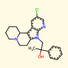 CC(O)(Cn1c2c(c3cc(Cl)cnc31)C1CCCCN1CC2)c1ccccc1